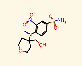 CN(c1ccc(S(N)(=O)=O)cc1[N+](=O)[O-])C1(CO)CCOCC1